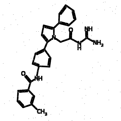 Cc1cccc(C(=O)Nc2ccc(-c3ccc(-c4ccccc4)n3CC(=O)NC(=N)N)cc2)c1